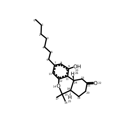 CCCCCCCc1cc(O)c2c(c1)OC(C)(C)[C@@H]1CCC(=O)C[C@@H]21